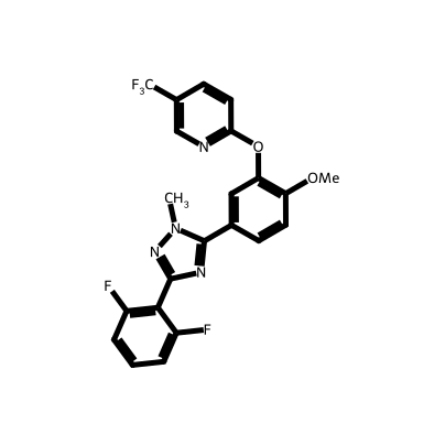 COc1ccc(-c2nc(-c3c(F)cccc3F)nn2C)cc1Oc1ccc(C(F)(F)F)cn1